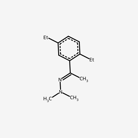 CCc1ccc(CC)c(/C(C)=N/N(C)C)c1